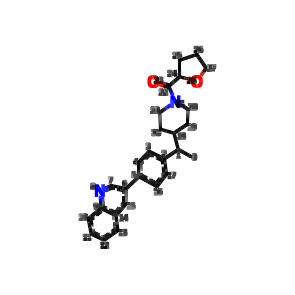 CC(c1ccc(-c2cnc3ccccc3c2)cc1)C1CCN(C(=O)C2CCCO2)CC1